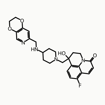 O=c1ccc2c(F)ccc3c2n1CCC3(O)CN1CCC(NCc2cc3c(cn2)OCCO3)CC1